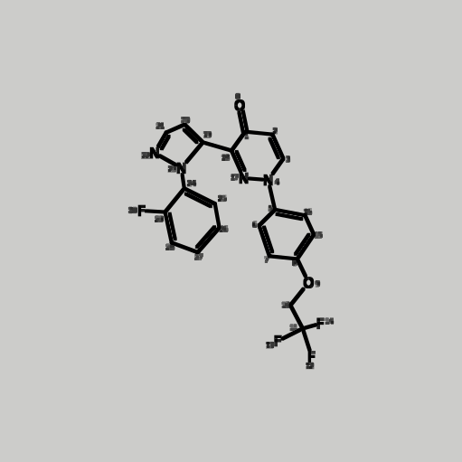 O=c1ccn(-c2ccc(OCC(F)(F)F)cc2)nc1-c1ccnn1-c1ccccc1F